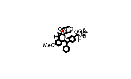 COc1ccc2c(c1)[C@@H]1C[C@]1(C(=O)N1C3COCC1COC3)Cn1c-2c(C2CCCCC2)c2ccc(C(=O)NS(=O)(=O)N(C)C)cc21